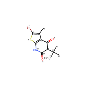 Cc1c(Br)sc2c1C(=O)C(C(C)(C)C(=O)O)C(=O)N2